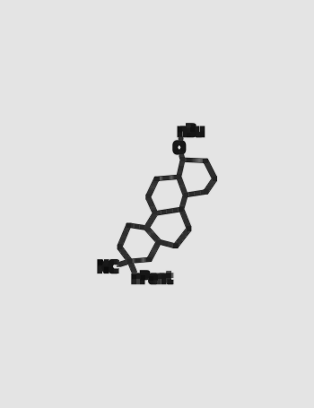 CCCCCC1(C#N)CCC2C(CCC3C2CCC2C(OCCCC)CCCC23)C1